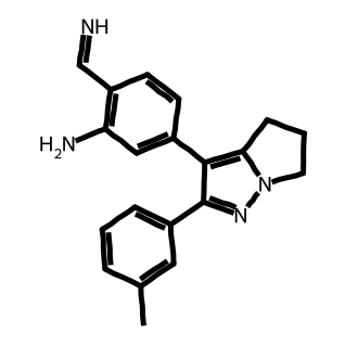 Cc1cccc(-c2nn3c(c2-c2ccc(C=N)c(N)c2)CCC3)c1